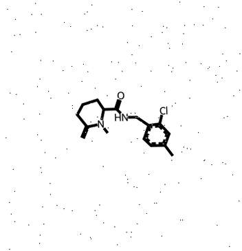 C=C1CCCC(C(=O)NCc2ccc(C)cc2Cl)N1C